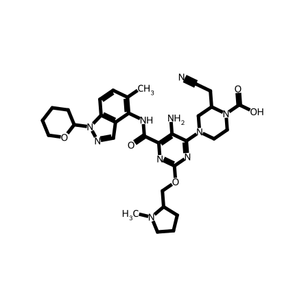 Cc1ccc2c(cnn2C2CCCCO2)c1NC(=O)c1nc(OCC2CCCN2C)nc(N2CCN(C(=O)O)C(CC#N)C2)c1N